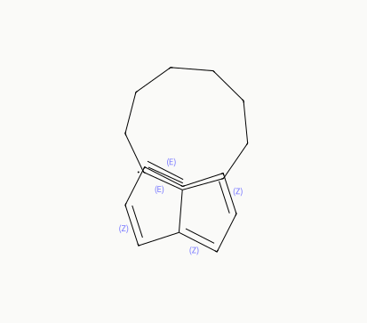 [C]1=C(C2=C\C=C/C=C/C=C\2)\CCCCCCC/1